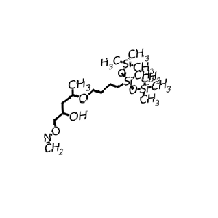 C=NOCC(O)CC(C)OCCCC[Si](C)(O[Si](C)(C)C)O[Si](C)(C)C